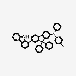 Cc1ccc(N(c2ccccc2)c2ccc3c(c2)C(c2ccccc2)(c2ccccc2)c2cc(-c4cccc5c4[nH]c4ccccc45)ccc2-3)cc1